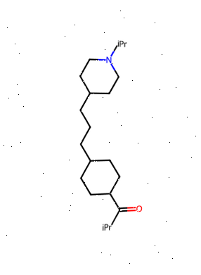 CC(C)C(=O)C1CCC(CCCC2CCN(C(C)C)CC2)CC1